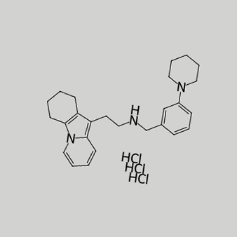 Cl.Cl.Cl.c1cc(CNCCc2c3c(n4ccccc24)CCCC3)cc(N2CCCCC2)c1